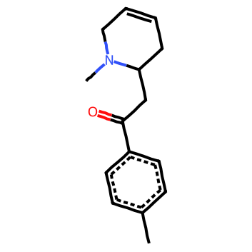 Cc1ccc(C(=O)CC2CC=CCN2C)cc1